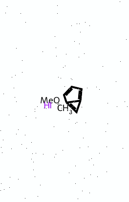 COC.I.c1cc2cc-2c1